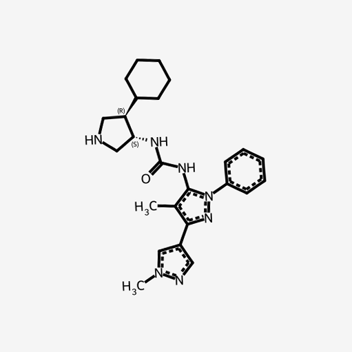 Cc1c(-c2cnn(C)c2)nn(-c2ccccc2)c1NC(=O)N[C@@H]1CNC[C@H]1C1CCCCC1